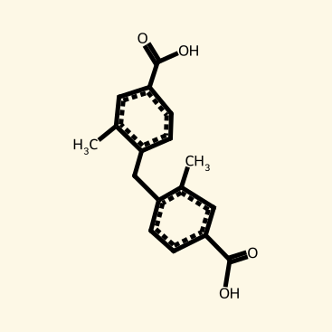 Cc1cc(C(=O)O)ccc1Cc1ccc(C(=O)O)cc1C